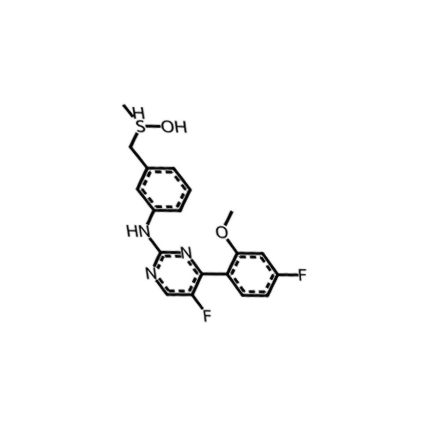 COc1cc(F)ccc1-c1nc(Nc2cccc(C[SH](C)O)c2)ncc1F